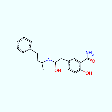 CC(CCc1ccccc1)NC(O)Cc1ccc(O)c(C(N)=O)c1